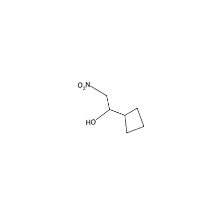 O=[N+]([O-])CC(O)C1CCC1